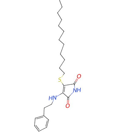 CCCCCCCCCCCCSC1=C(NCCc2ccccc2)C(=O)NC1=O